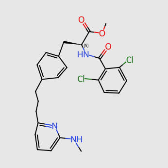 CNc1cccc(CCCc2ccc(C[C@H](NC(=O)c3c(Cl)cccc3Cl)C(=O)OC)cc2)n1